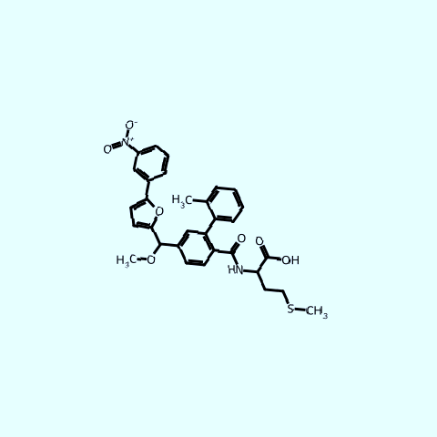 COC(c1ccc(C(=O)NC(CCSC)C(=O)O)c(-c2ccccc2C)c1)c1ccc(-c2cccc([N+](=O)[O-])c2)o1